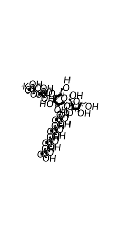 O=S(=O)(O)O.O=S(=O)(O)O.O=S(=O)(O)O.O=S(=O)(O)O.O=S(=O)(O)O.O=S(=O)(O)O.OC[C@H]1O[C@@](CO)(O[C@H]2O[C@H](CO)[C@@H](O)[C@H](O)[C@H]2O)[C@@H](O)[C@@H]1O.[K]